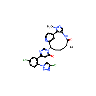 CC[C@@H]1CCC[C@H](n2cnc(-c3cc(Cl)ccc3-n3cc(Cl)nn3)cc2=O)c2cc(ccn2)-c2c(cnn2C)NC1=O